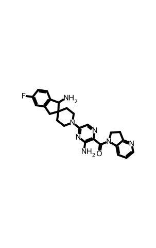 Nc1nc(N2CCC3(CC2)Cc2cc(F)ccc2C3N)cnc1C(=O)N1CCc2ncccc21